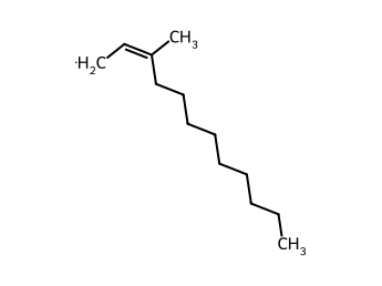 [CH2]C=C(C)CCCCCCCCC